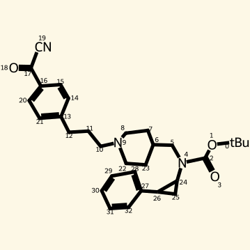 CC(C)(C)OC(=O)N(CC1CCN(CCCc2ccc(C(=O)C#N)cc2)CC1)C1CC1c1ccccc1